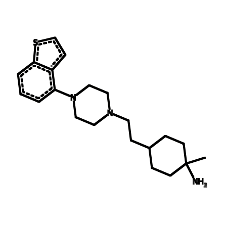 CC1(N)CCC(CCN2CCN(c3cccc4sccc34)CC2)CC1